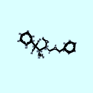 CO[C@H](COCc1ccccc1)[C@H](N)C(F)(F)c1ccccn1